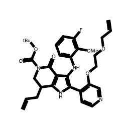 C=CCOCCOc1cnccc1-c1[nH]c2c(c1Nc1cccc(F)c1OC)C(=O)N(C(=O)OC(C)(C)C)CC2CC=C